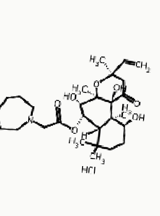 C=C[C@@]1(C)CC(=O)[C@]2(O)[C@@]3(C)[C@@H](O)CCC(C)(C)[C@@H]3[C@H](OC(=O)CN3CCCCCC3)[C@H](O)[C@@]2(C)O1.Cl